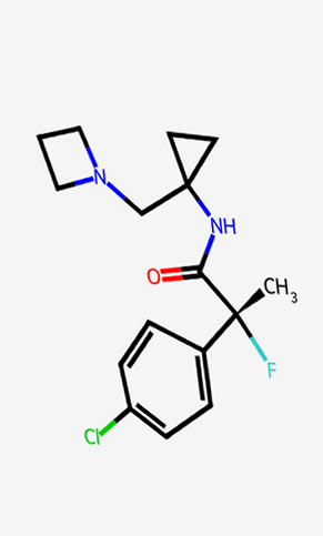 C[C@](F)(C(=O)NC1(CN2CCC2)CC1)c1ccc(Cl)cc1